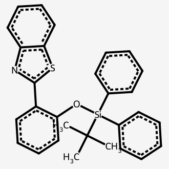 CC(C)(C)[Si](Oc1ccccc1-c1nc2ccccc2s1)(c1ccccc1)c1ccccc1